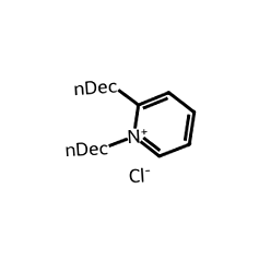 CCCCCCCCCCc1cccc[n+]1CCCCCCCCCC.[Cl-]